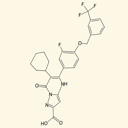 O=C(O)c1cc2[nH]c(-c3ccc(OCc4cccc(C(F)(F)F)c4)c(F)c3)c(C3CCCCC3)c(=O)n2n1